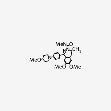 CNC(=O)N1N=C(c2ccc(N3CCC(OC)CC3)cc2)c2cc(OC)c(OC)cc2CC1C